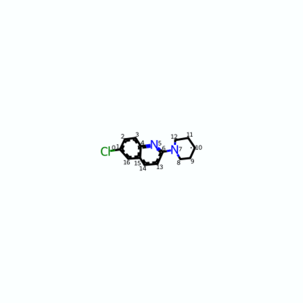 Clc1ccc2nc(N3CC[CH]CC3)ccc2c1